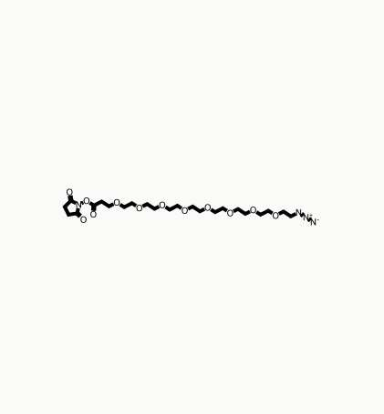 [N-]=[N+]=NCCOCCOCCOCCOCCOCCOCCOCCOCCC(=O)ON1C(=O)CCC1=O